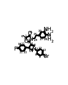 C[C@@H]1O[C@H](c2cn(-c3ccc(Br)cc3)nc2-c2ccc(F)cc2)N(CCc2ccc(N)c(N)c2)C1=O